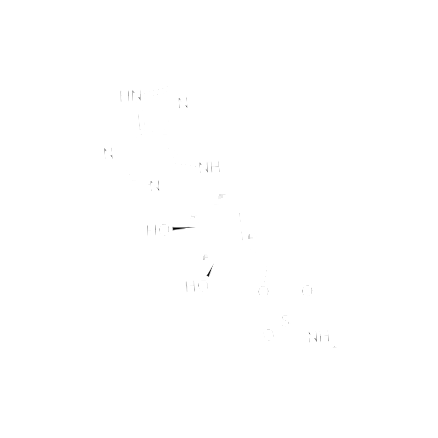 NS(=O)(=O)OC[C@H]1C[C@@H](Nc2ncnc3[nH]cnc23)[C@H](O)[C@@H]1O